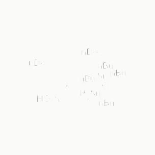 CCCCCCCCCCCCc1cccc(S(=O)(=O)O)c1CCCCCCCCCCCC.CCC[CH2][SnH2][O][Sn]([CH2]CCC)([CH2]CCC)[CH2]CCC